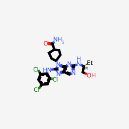 CC[C@H](CO)Nc1ncc2nc(Nc3c(Cl)cc(Cl)cc3Cl)n(C3CCC(C(N)=O)CC3)c2n1